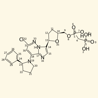 O=P(O)(O)CP(=O)(O)OC[C@@H]1CC[C@H](c2cnc3c(N4CCC[C@H]4c4ccccc4)cc(Cl)nn23)O1